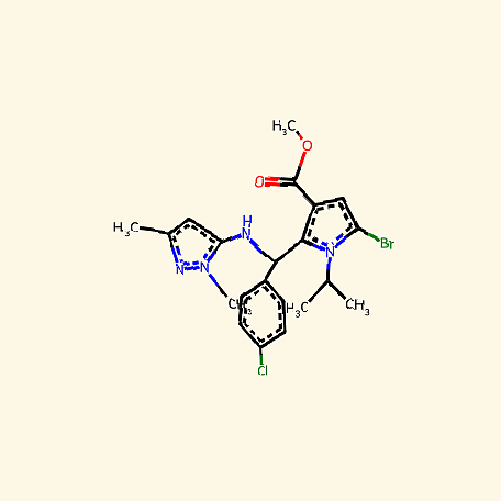 COC(=O)c1cc(Br)n(C(C)C)c1C(Nc1cc(C)nn1C)c1ccc(Cl)cc1